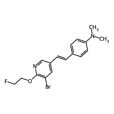 CN(C)c1ccc(/C=C/c2cnc(OCCF)c(Br)c2)cc1